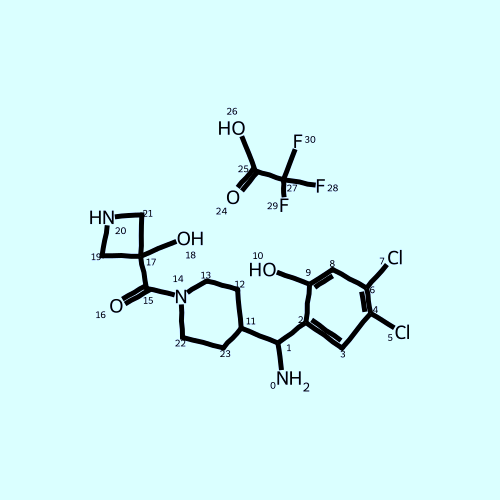 NC(c1cc(Cl)c(Cl)cc1O)C1CCN(C(=O)C2(O)CNC2)CC1.O=C(O)C(F)(F)F